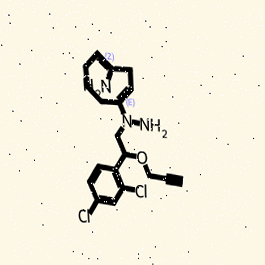 C#CCOC(CN(N)/C1=C/C/C(N)=C/CCC1)c1ccc(Cl)cc1Cl